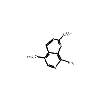 CCOC(=O)c1cnc(N)c2nc(OC)ccc12